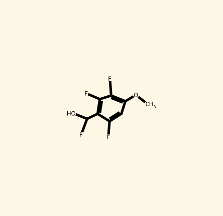 COc1cc(F)c(C(O)F)c(F)c1F